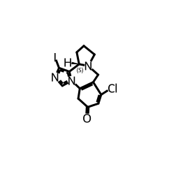 O=C1C=C(Cl)C2=C(C1)n1cnc(I)c1[C@@H]1CCCN1C2